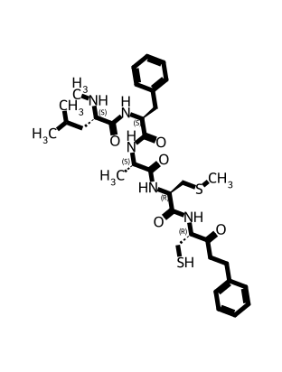 CN[C@@H](CC(C)C)C(=O)N[C@@H](Cc1ccccc1)C(=O)N[C@@H](C)C(=O)N[C@@H](CSC)C(=O)N[C@@H](CS)C(=O)CCc1ccccc1